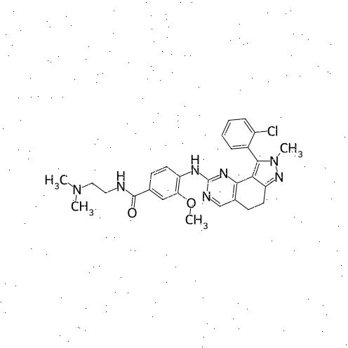 COc1cc(C(=O)NCCN(C)C)ccc1Nc1ncc2c(n1)-c1c(nn(C)c1-c1ccccc1Cl)CC2